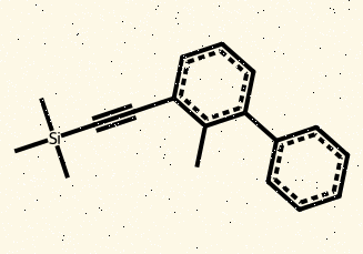 Cc1c(C#C[Si](C)(C)C)cccc1-c1ccccc1